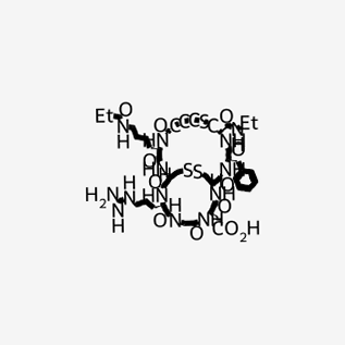 CCNC(=O)[C@@H]1CSCCCC(=O)N[C@@H](CCCCNC(=O)CC)C(=O)N[C@H]2CSSC[C@H](NC(=O)[C@H](CC(=O)O)NC(=O)CNC(=O)[C@H](CCCNC(=N)N)NC2=O)C(=O)N[C@@H](Cc2ccccc2)C(=O)N1